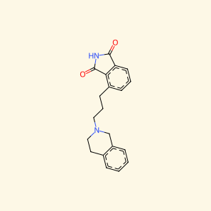 O=C1NC(=O)c2c(CCCN3CCc4ccccc4C3)cccc21